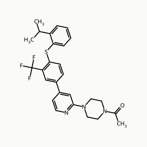 CC(=O)N1CCN(c2cc(-c3ccc(Sc4ccccc4C(C)C)c(C(F)(F)F)c3)ccn2)CC1